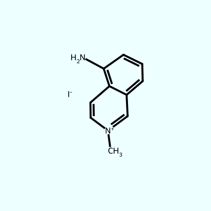 C[n+]1ccc2c(N)cccc2c1.[I-]